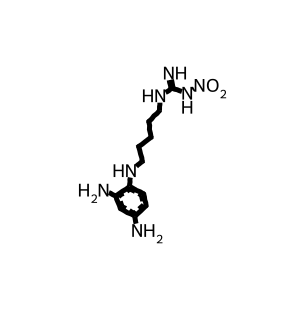 N=C(NCCCCCNc1ccc(N)cc1N)N[N+](=O)[O-]